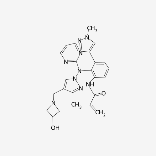 C=CC(=O)Nc1cccc(-c2cnn(C)c2)c1N(c1ncccn1)n1cc(CN2CC(O)C2)c(C)n1